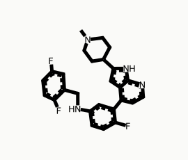 CN1CCC(c2cc3c(-c4cc(NCc5cc(F)ccc5F)ccc4F)ccnc3[nH]2)CC1